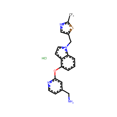 Cl.NCc1ccnc(Oc2cccc3c2ccn3Cc2cnc(C(F)(F)F)s2)c1